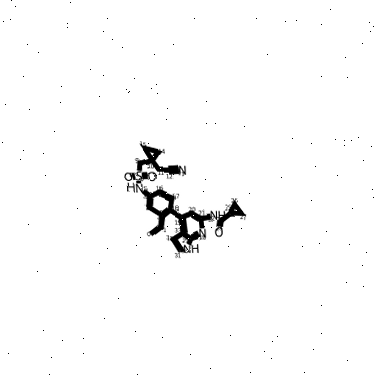 CCc1cc(NS(=O)(=O)CC2(CC#N)CC2)ccc1-c1cc(NC(=O)C2CC2)nc2[nH]ccc12